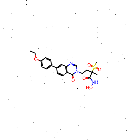 CCOc1ccc(-c2ccc3c(=O)n(CCC(C)(C(=O)NO)S(C)(=O)=O)cnc3c2)cc1